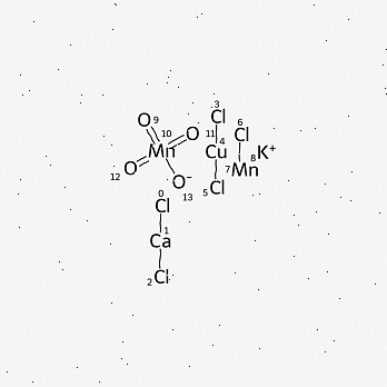 [Cl][Ca][Cl].[Cl][Cu][Cl].[Cl][Mn].[K+].[O]=[Mn](=[O])(=[O])[O-]